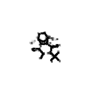 CCC(=O)[C@@H]1[C@H]2CC[C@H](C2)N1C(=O)OC(C)(C)C